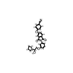 COC(COc1cccc(N2C(=O)c3ccc(Oc4ccc(C#N)cc4)cc3C2=O)c1)N1CCCC1